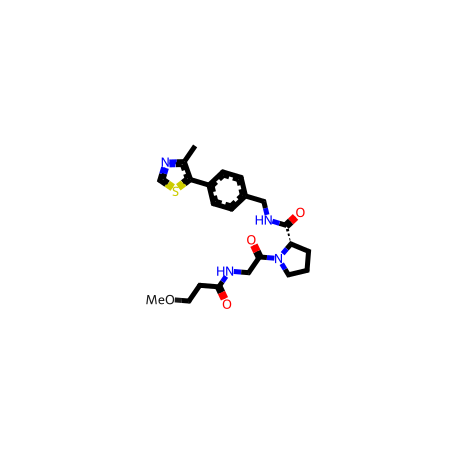 COCCC(=O)NCC(=O)N1CCC[C@H]1C(=O)NCc1ccc(-c2scnc2C)cc1